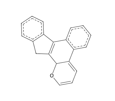 C1=COC2C(=C1)c1ccccc1C1=C2Cc2ccccc21